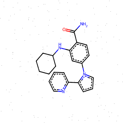 NC(=O)c1ccc(-n2cccc2-c2ccccn2)cc1NC1CCCCC1